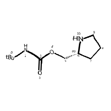 CC(C)(C)NC(=O)OC[C@H]1CCCN1